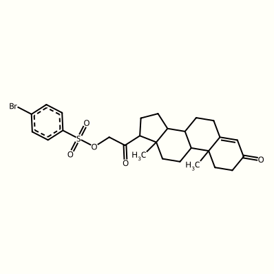 CC12CCC(=O)C=C1CCC1C2CCC2(C)C(C(=O)COS(=O)(=O)c3ccc(Br)cc3)CCC12